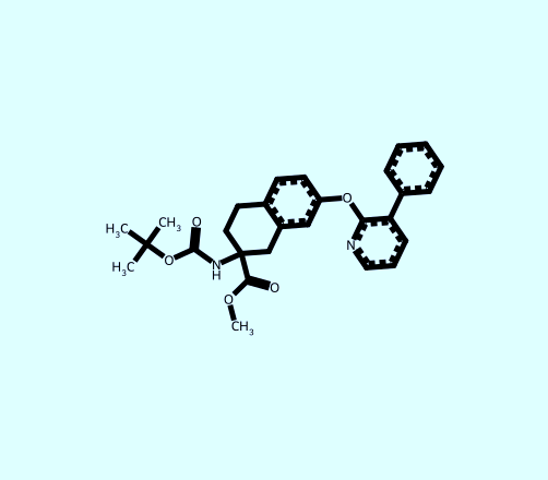 COC(=O)C1(NC(=O)OC(C)(C)C)CCc2ccc(Oc3ncccc3-c3ccccc3)cc2C1